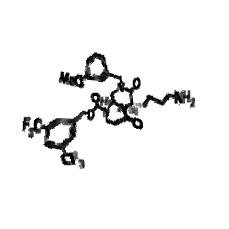 COc1cccc(CN2C[C@@H]3N(C(=O)OCc4cc(C(F)(F)F)cc(C(F)(F)F)c4)CCC(=O)N3[C@@H](CCCCN)C2=O)c1